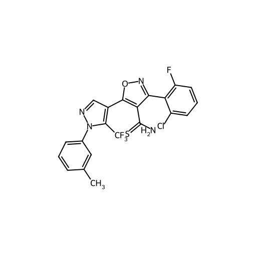 Cc1cccc(-n2ncc(-c3onc(-c4c(F)cccc4Cl)c3C(N)=S)c2C(F)(F)F)c1